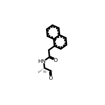 C[C@@H]([C]=O)NC(=O)Cc1cccc2ccccc12